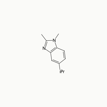 Cc1nc2cc(C(C)C)ccc2n1C